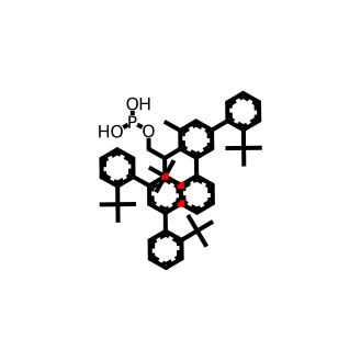 Cc1cc(-c2ccccc2C(C)(C)C)cc(-c2ccccc2C(C)(C)C)c1C(COP(O)O)c1c(C)cc(-c2ccccc2C(C)(C)C)cc1-c1ccccc1C(C)(C)C